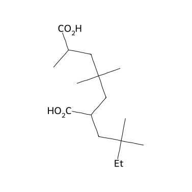 CCC(C)(C)CC(CC(C)(C)CC(C)C(=O)O)C(=O)O